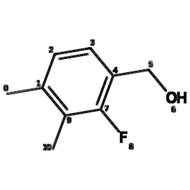 Cc1ccc(CO)c(F)c1C